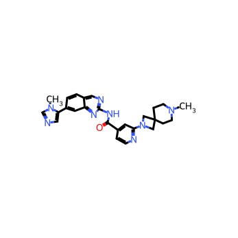 CN1CCC2(CC1)CN(c1cc(C(=O)Nc3ncc4ccc(-c5cncn5C)cc4n3)ccn1)C2